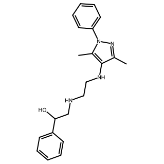 Cc1nn(-c2ccccc2)c(C)c1NCCNCC(O)c1ccccc1